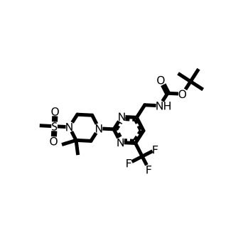 CC(C)(C)OC(=O)NCc1cc(C(F)(F)F)nc(N2CCN(S(C)(=O)=O)C(C)(C)C2)n1